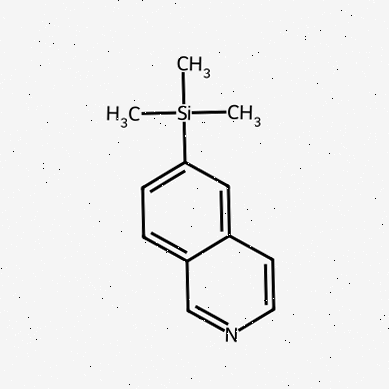 C[Si](C)(C)c1ccc2cnccc2c1